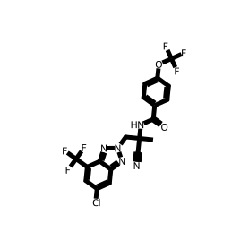 CC(C#N)(Cn1nc2cc(Cl)cc(C(F)(F)F)c2n1)NC(=O)c1ccc(OC(F)(F)F)cc1